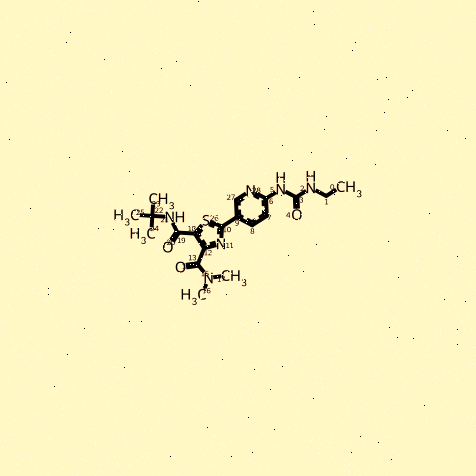 CCNC(=O)Nc1ccc(-c2nc(C(=O)N(C)C)c(C(=O)NC(C)(C)C)s2)cn1